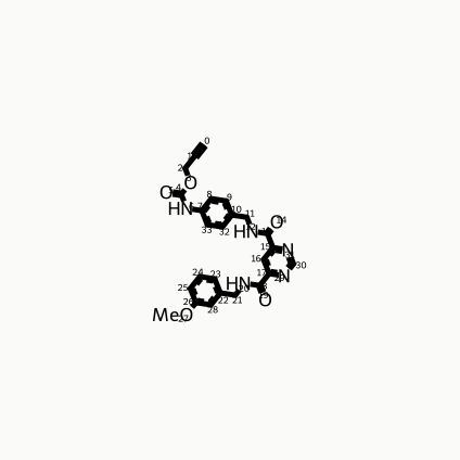 C#CCOC(=O)Nc1ccc(CNC(=O)c2cc(C(=O)NCc3cccc(OC)c3)ncn2)cc1